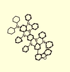 c1ccc(N2c3ccccc3B3c4cc5c(cc4N(c4ccccc4)c4cc(-c6cccc7oc8ccccc8c67)cc2c43)N(c2ccccc2)c2cc(N(C3CCCCC3)C3CCCCC3)cc3c2B5c2ccccc2N3c2ccccc2)cc1